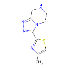 Cc1csc(-c2nnc3n2CCNC3)n1